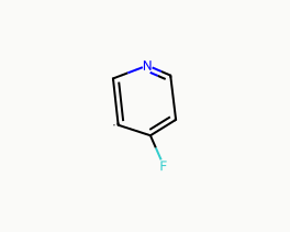 Fc1[c]cncc1